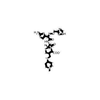 C[n+]1ccc(SCC2=C(C(=O)[O-])N3C(=O)[C@@H](NC(=O)/C(=N\OCc4nc[nH]n4)c4csc(N)n4)[C@H]3SC2)cc1